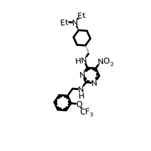 CCN(CC)[C@H]1CC[C@H](CNc2nc(NCc3ccccc3OC(F)(F)F)ncc2[N+](=O)[O-])CC1